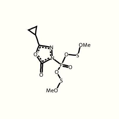 COSOP(=O)(OSOC)n1nc(C2CC2)oc1=O